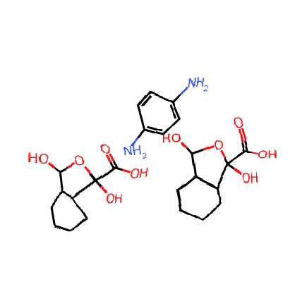 Nc1ccc(N)cc1.O=C(O)C1(O)OC(O)C2CCCCC21.O=C(O)C1(O)OC(O)C2CCCCC21